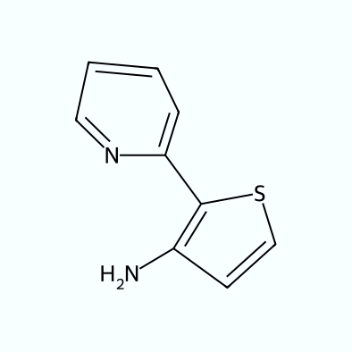 Nc1ccsc1-c1ccccn1